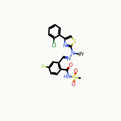 CC(C)N(N=Cc1cc(F)ccc1C(=O)NS(C)(=O)=O)c1nc(-c2ccccc2Cl)cs1